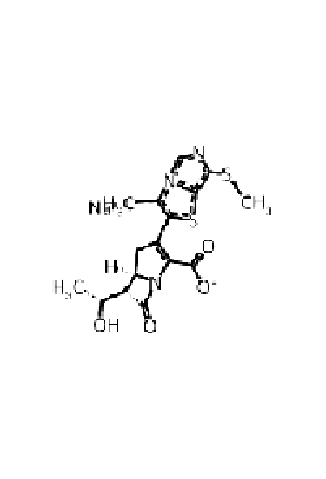 CSc1ncn2c(C)c(C3=C(C(=O)[O-])N4C(=O)[C@H]([C@@H](C)O)[C@H]4C3)sc12.[Na+]